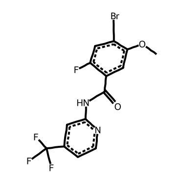 COc1cc(C(=O)Nc2cc(C(F)(F)F)ccn2)c(F)cc1Br